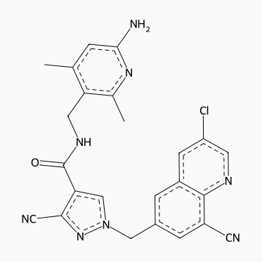 Cc1cc(N)nc(C)c1CNC(=O)c1cn(Cc2cc(C#N)c3ncc(Cl)cc3c2)nc1C#N